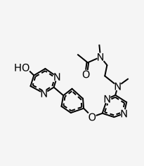 CC(=O)N(C)CCN(C)c1cncc(Oc2ccc(-c3ncc(O)cn3)cc2)n1